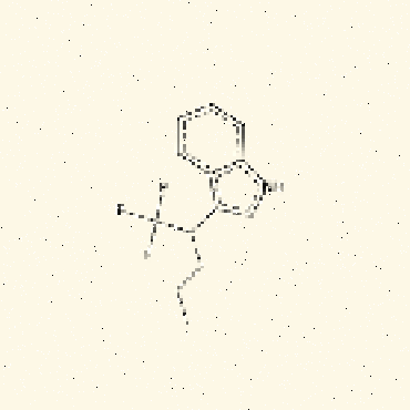 CCCC(c1c[nH]c2ccccc12)C(F)(F)F